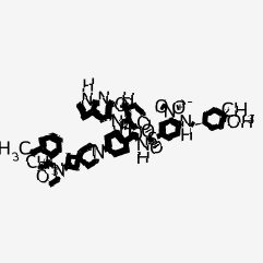 CC(C)c1ccccc1[C@H]1COCCN1C1CC2(CCN(c3ccc(C(=O)NS(=O)(=O)c4ccc(NC[C@H]5CC[C@](C)(O)CC5)c([N+](=O)[O-])c4)c(N4c5cc6cc[nH]c6nc5O[C@@H]5CCOC[C@H]54)c3)CC2)C1